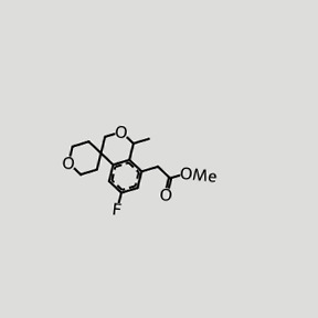 COC(=O)Cc1cc(F)cc2c1C(C)OCC21CCOCC1